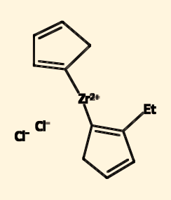 CCC1=[C]([Zr+2][C]2=CC=CC2)CC=C1.[Cl-].[Cl-]